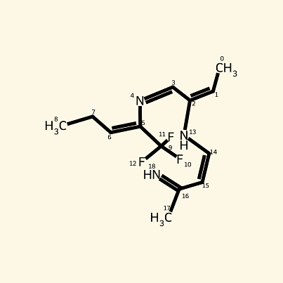 C\C=C(/C=N\C(=C/CC)C(F)(F)F)N/C=C\C(C)=N